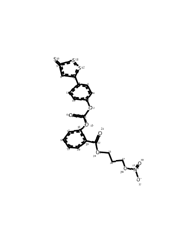 O=C(Oc1ccc(-c2cc(=S)ss2)cc1)Oc1ccccc1C(=O)OCCCO[N+](=O)[O-]